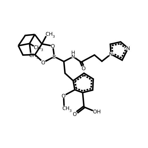 COc1c(CC(NC(=O)CCn2ccnc2)B2OC3CC4CC(C4(C)C)C3(C)O2)cccc1C(=O)O